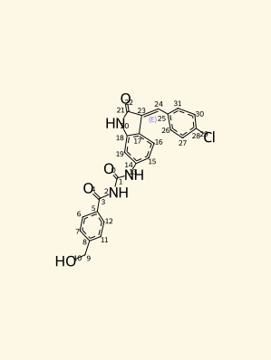 O=C(NC(=O)c1ccc(CO)cc1)Nc1ccc2c(c1)NC(=O)/C2=C/c1ccc(Cl)cc1